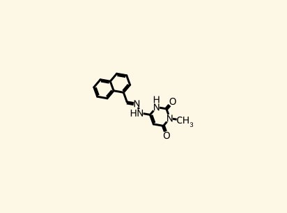 Cn1c(=O)cc(NN=Cc2cccc3ccccc23)[nH]c1=O